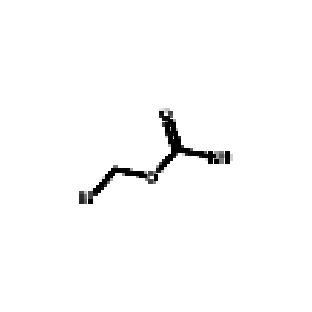 CCCOC([NH])=O